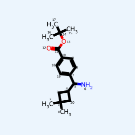 CC1(C)CC(C(N)c2ccc(C(=O)OC(C)(C)C)cc2)C1